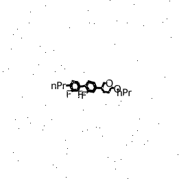 CCCOC1CCC(c2ccc(-c3ccc(CCC)c(F)c3F)c(F)c2)CO1